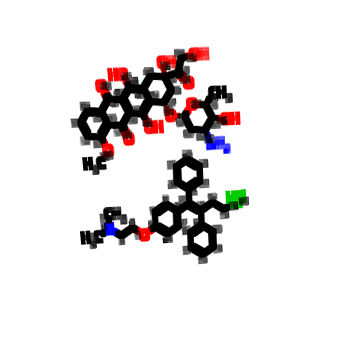 CN(C)CCOc1ccc(/C(=C(/CCCl)c2ccccc2)c2ccccc2)cc1.COc1cccc2c1C(=O)c1c(O)c3c(c(O)c1C2=O)C[C@@](O)(C(=O)CO)C[C@@H]3O[C@H]1C[C@H](N)[C@H](O)[C@H](C)O1.Cl